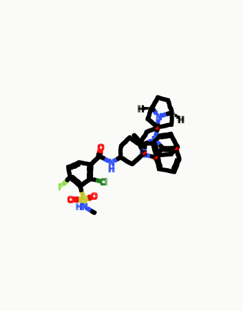 CNS(=O)(=O)c1c(F)ccc(C(=O)NC2CCC(CCN3[C@@H]4CC[C@H]3CC(n3c(C)nc5ccccc53)C4)(c3ccccc3)CC2)c1Cl